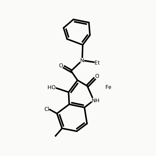 CCN(C(=O)c1c(O)c2c(Cl)c(C)ccc2[nH]c1=O)c1ccccc1.[Fe]